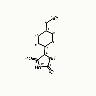 CC(C)CC1CCC(C2NC(=O)NC2=O)CC1